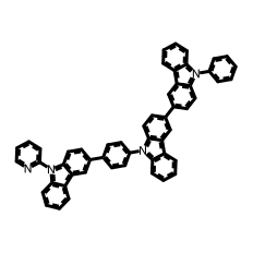 c1ccc(-n2c3ccccc3c3cc(-c4ccc5c(c4)c4ccccc4n5-c4ccc(-c5ccc6c(c5)c5ccccc5n6-c5ccccn5)cc4)ccc32)cc1